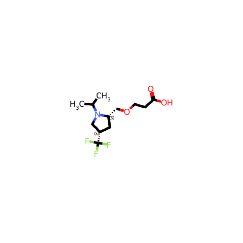 CC(C)N1C[C@@H](C(F)(F)F)C[C@H]1COCCC(=O)O